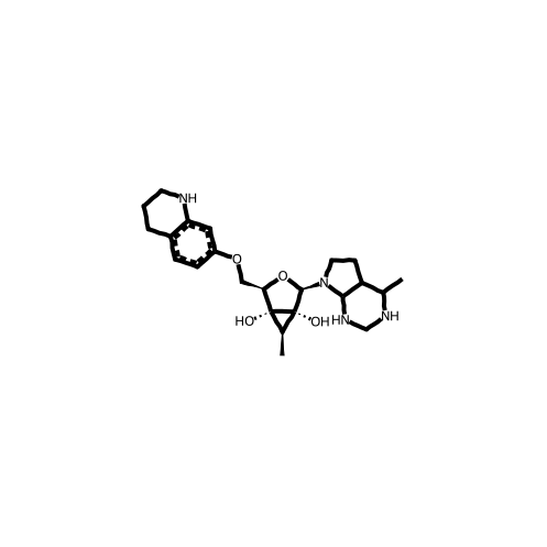 CC1NCNC2C1CCN2[C@@H]1O[C@H](COc2ccc3c(c2)NCCC3)[C@]2(O)[C@H](C)[C@]12O